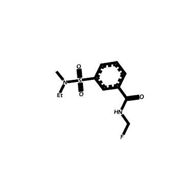 CCN(C)S(=O)(=O)c1cccc(C(=O)NCF)c1